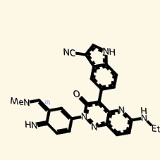 CCNc1ccc2nn(C3=C/C(=C/NC)C(=N)C=C3)c(=O)c(-c3ccc4[nH]cc(C#N)c4c3)c2n1